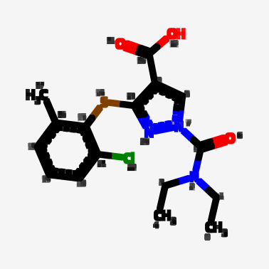 CCN(CC)C(=O)n1cc(C(=O)O)c(Sc2c(C)cccc2Cl)n1